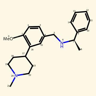 COc1ccc(CN[C@H](C)c2ccccc2)cc1C1CCN(C)CC1